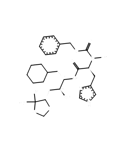 CN(C(=O)OCc1ccccc1)[C@@H](Cc1c[nH]cn1)C(=O)N[C@@H](CC1CCCCC1)[C@@H](O)C[C@@H]1OCOC1(C)C